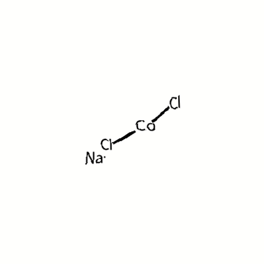 [Cl][Co][Cl].[Na]